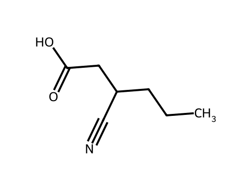 CCCC(C#N)CC(=O)O